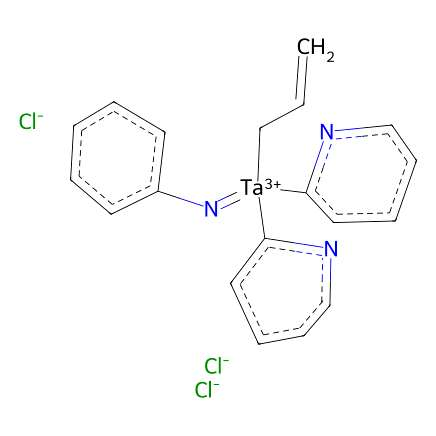 C=C[CH2][Ta+3](=[N]c1ccccc1)([c]1ccccn1)[c]1ccccn1.[Cl-].[Cl-].[Cl-]